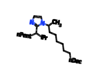 CCCCCCCCCCCCCCCCC(C)n1ccnc1C(CCCCC)C(C)C